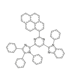 c1ccc(-c2nc(-c3cc(-c4nc5ccccc5n4-c4ccccc4)nc(-c4ccc5ccc6cccc7ccc4c5c67)n3)n(-c3ccccc3)c2-c2ccccc2)cc1